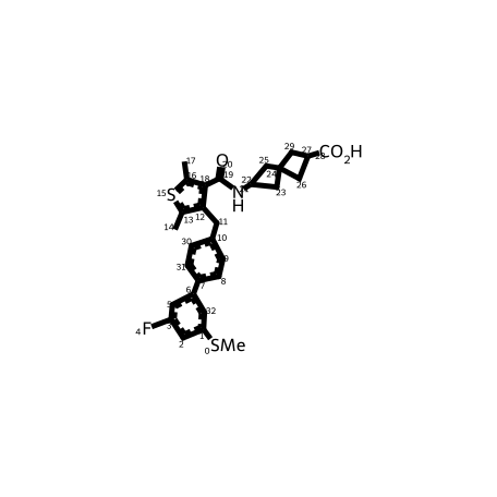 CSc1cc(F)cc(-c2ccc(Cc3c(C)sc(C)c3C(=O)NC3CC4(C3)CC(C(=O)O)C4)cc2)c1